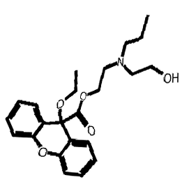 CCCN(CCO)CCOC(=O)C1(OCC)c2ccccc2Oc2ccccc21